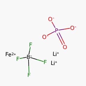 F[B-](F)(F)F.O=P([O-])([O-])[O-].[Fe+2].[Li+].[Li+]